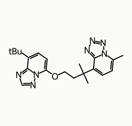 Cc1ccc(C(C)(C)CCOc2ccc(C(C)(C)C)c3ncnn23)c2nnnn12